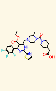 CCOC(=O)C1=C(CN2CCN(C(=O)N3CCC(CC(=O)O)CC3)C(C)C2)NC(c2nccs2)=NC1c1ccc(F)c(F)c1F